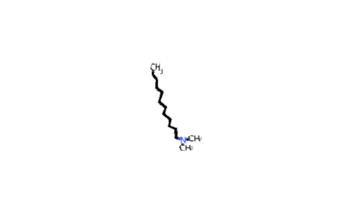 [CH]N([CH])CCCCCCCCCCCC